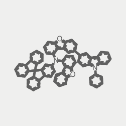 c1ccc(-n2c3ccccc3c3cc(-c4ccc5oc6cccc(N(c7ccc8c(c7)C7(c9ccccc9-c9ccccc97)c7ccccc7-8)c7cccc8oc9ccccc9c78)c6c5c4)ccc32)cc1